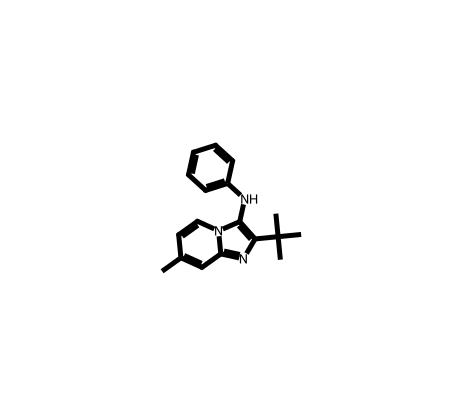 Cc1ccn2c(Nc3ccccc3)c(C(C)(C)C)nc2c1